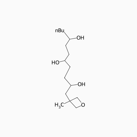 CCCCC(O)CCC(O)CCC(O)CC1(C)COC1